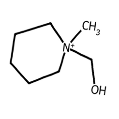 C[N+]1(CO)CCCCC1